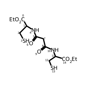 CCOC(=O)C(CS)NC(=O)CC(=O)NC(CS)C(=O)OCC